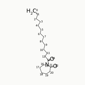 C=CCCCCCCCCCCCC(=O)N1CCCCCC1=O